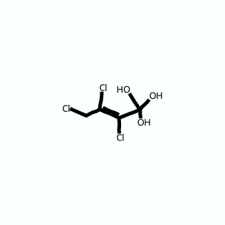 OC(O)(O)C(Cl)=C(Cl)CCl